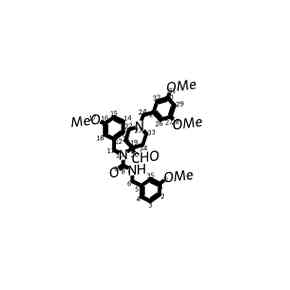 COc1cccc(CNC(=O)N(Cc2cccc(OC)c2)C2(C=O)CCN(Cc3cc(OC)cc(OC)c3)CC2)c1